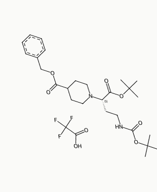 CC(C)(C)OC(=O)NCC[C@@H](C(=O)OC(C)(C)C)N1CCC(C(=O)OCc2ccccc2)CC1.O=C(O)C(F)(F)F